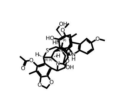 COc1ccc2[nH]c3c(c2c1)C[C@H](CO)N[C@]31CS[C@@H]2c3c(OC(C)=O)c(C)c4c(c3C(COC1=O)N1[C@@H]2C2c3c(cc(C)c(OC)c3O)CC1(O)CN2C)OCO4